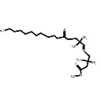 CCCCCCCCCCCC(=O)CCC(C)(C)/C=N/CC(C)(C)CC(=O)OC